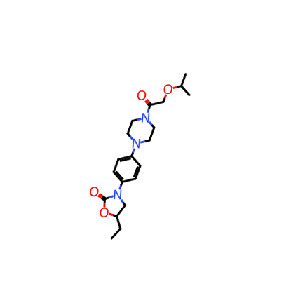 CCC1CN(c2ccc(N3CCN(C(=O)COC(C)C)CC3)cc2)C(=O)O1